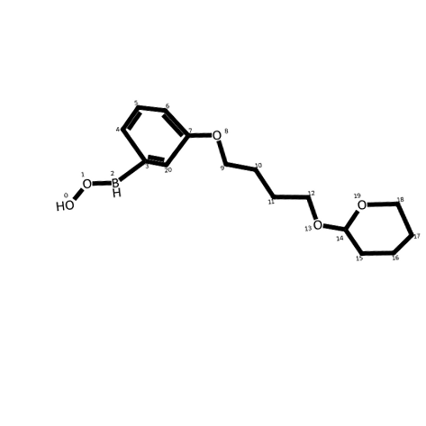 OOBc1cccc(OCCCCOC2CCCCO2)c1